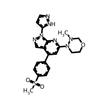 CN1COCCN1c1cc(-c2ccc(S(C)(=O)=O)cc2)c2cnn(-c3ccn[nH]3)c2n1